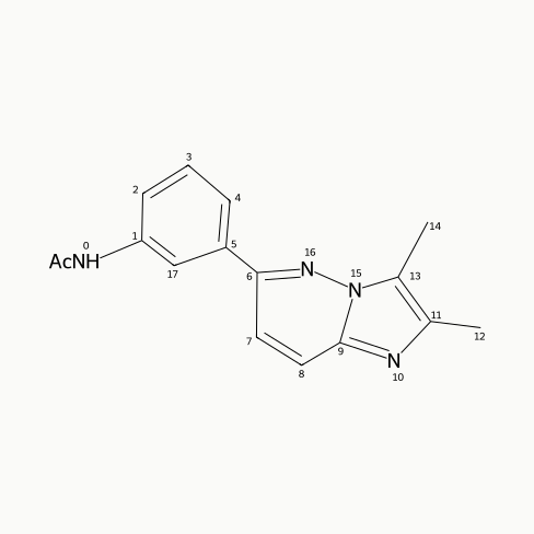 CC(=O)Nc1cccc(-c2ccc3nc(C)c(C)n3n2)c1